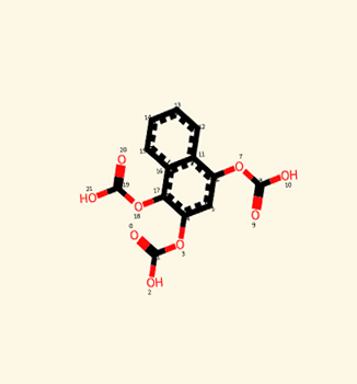 O=C(O)Oc1cc(OC(=O)O)c2ccccc2c1OC(=O)O